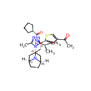 CC(=O)c1csc([C@H](CCN2[C@@H]3CC[C@H]2C[C@H](n2c(C)nnc2C(C)C)C3)NC(=O)C2CCCC2)c1